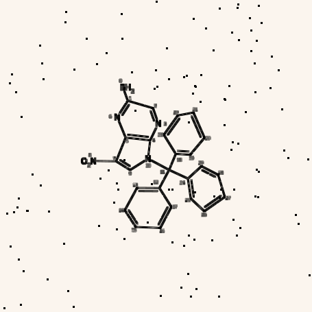 Bc1cnc2c(n1)c([N+](=O)[O-])cn2C(c1ccccc1)(c1ccccc1)c1ccccc1